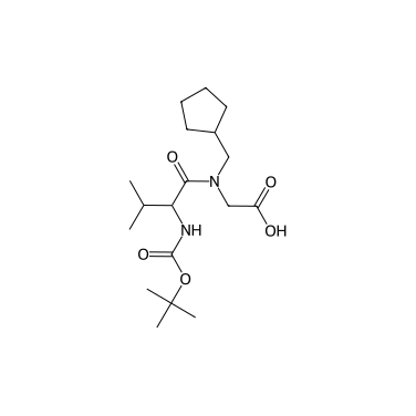 CC(C)C(NC(=O)OC(C)(C)C)C(=O)N(CC(=O)O)CC1CCCC1